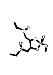 CC[S+]([O-])CC1OP(=O)(OC)OC1C[S+]([O-])CC